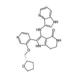 O=C1NCCc2[nH]c(-c3ccncc3OC[C@@H]3CCCO3)c(Nc3c[nH]c4cccnc34)c21